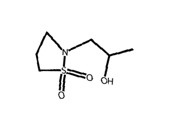 CC(O)CN1CCCS1(=O)=O